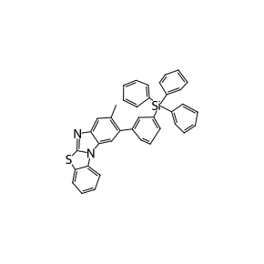 Cc1cc2nc3sc4ccccc4n3c2cc1-c1cccc([Si](c2ccccc2)(c2ccccc2)c2ccccc2)c1